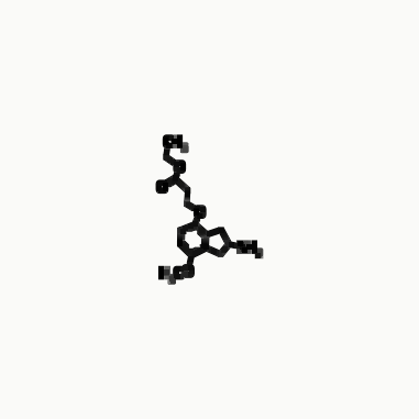 CCOC(=O)CCOc1ccc(OC)c2c1CC(N)C2